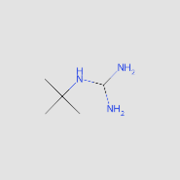 CC(C)(C)NC(N)N